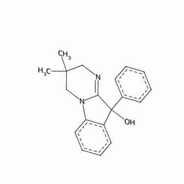 CC1(C)CN=C2N(C1)c1ccccc1C2(O)c1ccccc1